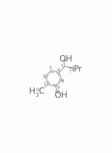 Cc1ccc([C@@H](O)C(C)C)cc1O